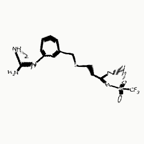 NC(N)=Nc1cccc(CSCC/C(N)=N/S(=O)(=O)C(F)(F)F)c1